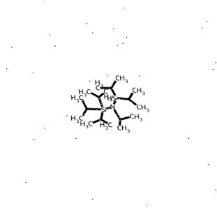 CC(C)N([SiH](C(C)C)C(C)C)[Si](C(C)C)(C(C)C)C(C)C